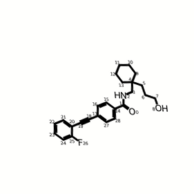 O=C(NCC1(CCCO)CCCCC1)c1ccc(C#Cc2ccccc2F)cc1